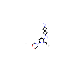 CCc1nc(N2C[C@@H](C)O[C@@H](C)C2)ccc1NC1CC2(CC(N)C2)C1